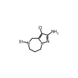 CCN1CCCn2nc(N)c(Cl)c2C1